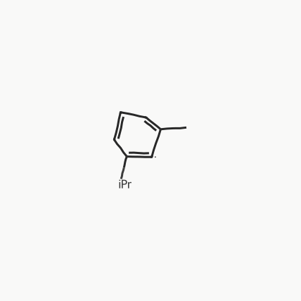 Cc1[c]c(C(C)C)ccc1